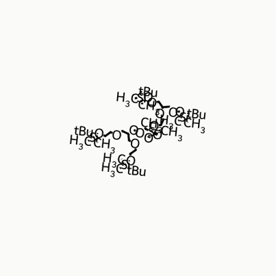 CC(COC(COO[Si](C)(C)C(C)(C)C)COO[Si](C)(C)C(C)(C)C)OS(=O)(=O)C(C)OOC(COCCO[Si](C)(C)C(C)(C)C)COCCO[Si](C)(C)C(C)(C)C